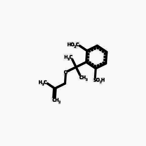 C=C(C)COC(C)(C)c1c(C(=O)O)cccc1S(=O)(=O)O